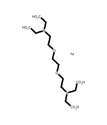 O=C(O)CN(CCOCCOCCN(CC(=O)O)CC(=O)O)CC(=O)O.[Fe]